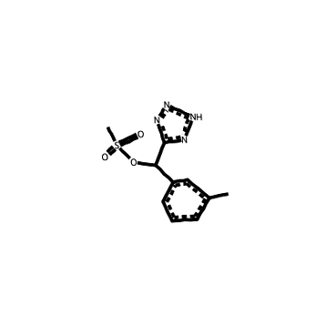 Cc1cccc(C(OS(C)(=O)=O)c2nn[nH]n2)c1